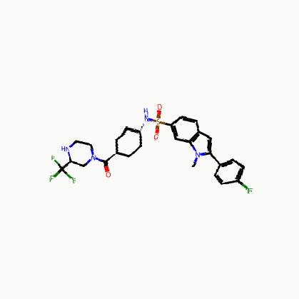 Cn1c(-c2ccc(F)cc2)cc2ccc(S(=O)(=O)N[C@H]3CC[C@H](C(=O)N4CCNC(C(F)(F)F)C4)CC3)cc21